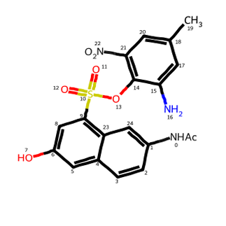 CC(=O)Nc1ccc2cc(O)cc(S(=O)(=O)Oc3c(N)cc(C)cc3[N+](=O)[O-])c2c1